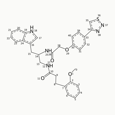 COc1ccccc1CCC(=O)NCC(Cc1c[nH]c2ccccc12)NC(=O)COc1ccc(-c2csnn2)cc1